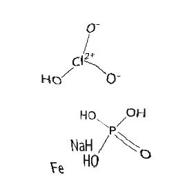 O=P(O)(O)O.[Fe].[NaH].[O-][Cl+2]([O-])O